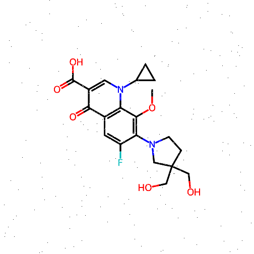 COc1c(N2CCC(CO)(CO)C2)c(F)cc2c(=O)c(C(=O)O)cn(C3CC3)c12